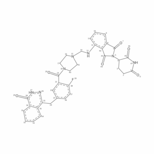 O=C1CCC(N2C(=O)c3cccc(NCN4CCN(C(=O)c5cc(Cc6n[nH]c(=O)c7ccccc67)ccc5F)CC4)c3C2=O)C(=O)N1